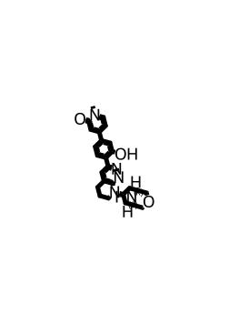 Cn1ccc(-c2ccc(-c3cc4c(nn3)N(C3C[C@H]5COC[C@@H](C3)N5)CCC4)c(O)c2)cc1=O